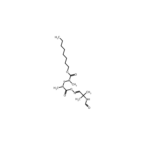 CCCCCCCCOC(=O)N(C)SN(C)C(=O)ON=CC(C)(C)NC=O